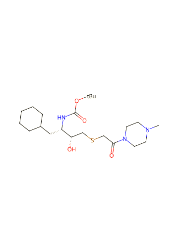 CN1CCN(C(=O)CSC[C@H](O)[C@H](CC2CCCCC2)NC(=O)OC(C)(C)C)CC1